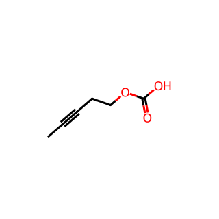 CC#CCCOC(=O)O